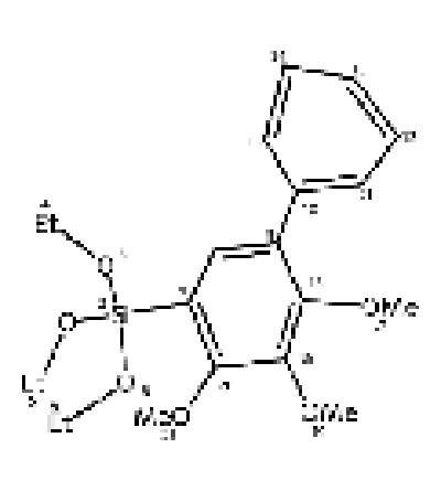 CCO[Si](OCC)(OCC)c1cc(-c2ccccc2)c(OC)c(OC)c1OC